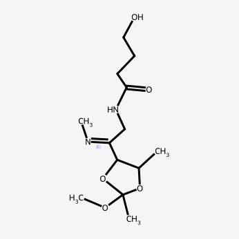 C/N=C(\CNC(=O)CCCO)C1OC(C)(OC)OC1C